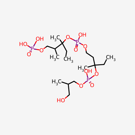 CCC(C)(CCOP(=O)(O)OC(C)(CC)C(C)COP(=O)(O)O)OP(=O)(O)OCC(C)CO